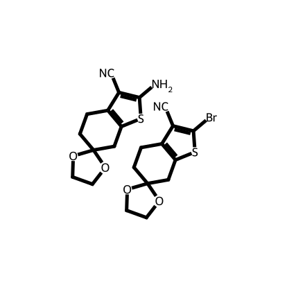 N#Cc1c(Br)sc2c1CCC1(C2)OCCO1.N#Cc1c(N)sc2c1CCC1(C2)OCCO1